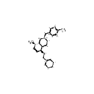 C=N/C=C\C(=N/CN1CCCCC1)C1CCN(Cc2cnc(C)nc2)CC1